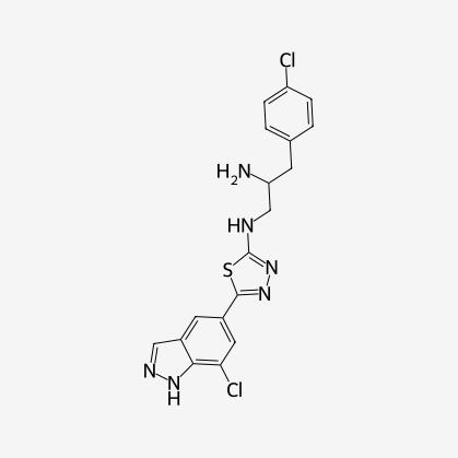 NC(CNc1nnc(-c2cc(Cl)c3[nH]ncc3c2)s1)Cc1ccc(Cl)cc1